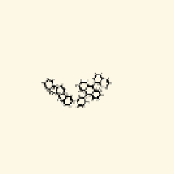 C1=CC2=C(C3C=CC=C4C=CCCC43)c3ccccc3C(C3C=C(C4=CC5=C(CC4)OC4C5C=CC5C6CCC=CC6OC54)C=CC3)C2C=C1